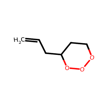 C=CCC1CCOOO1